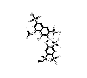 C=CS(=O)(=O)c1cc(N=Nc2c(S(=O)(=O)O)cc3cc(S(=O)(=O)O)cc(NC(C)=O)c3c2O)c(S(=O)(=O)O)cc1S(=O)(=O)O